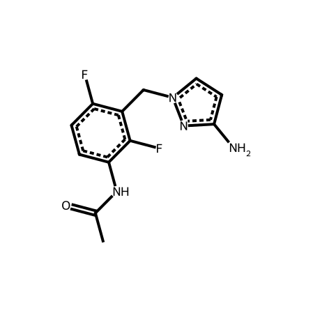 CC(=O)Nc1ccc(F)c(Cn2ccc(N)n2)c1F